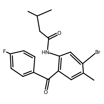 Cc1cc(C(=O)c2ccc(F)cc2)c(NC(=O)CC(C)C)cc1Br